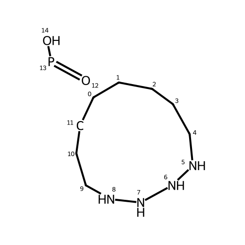 C1CCCCNNNNCCC1.O=PO